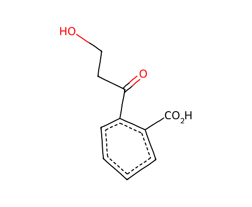 O=C(O)c1ccccc1C(=O)CCO